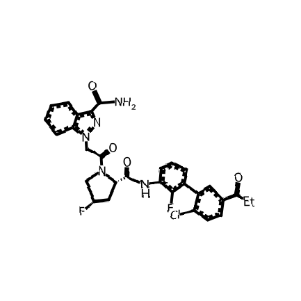 CCC(=O)c1ccc(Cl)c(-c2cccc(NC(=O)[C@@H]3C[C@@H](F)CN3C(=O)Cn3nc(C(N)=O)c4ccccc43)c2F)c1